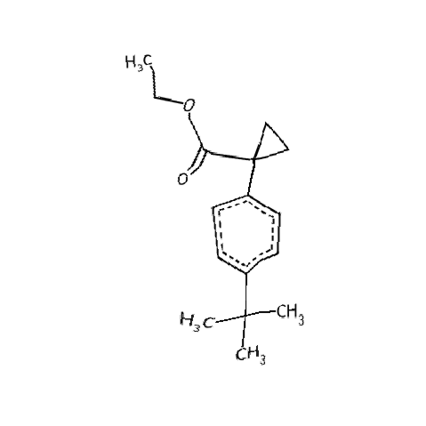 CCOC(=O)C1(c2ccc(C(C)(C)C)cc2)CC1